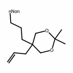 C=CCC1(CCCCCCCCCCCC)COC(C)(C)OC1